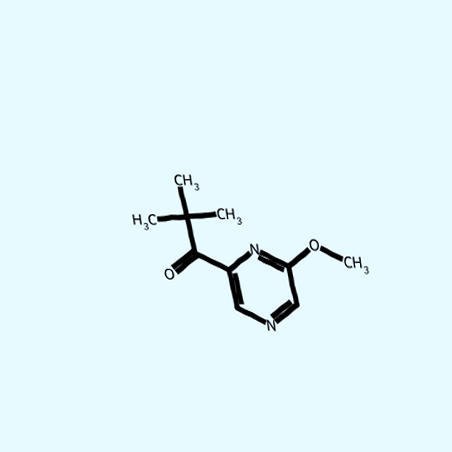 COc1cncc(C(=O)C(C)(C)C)n1